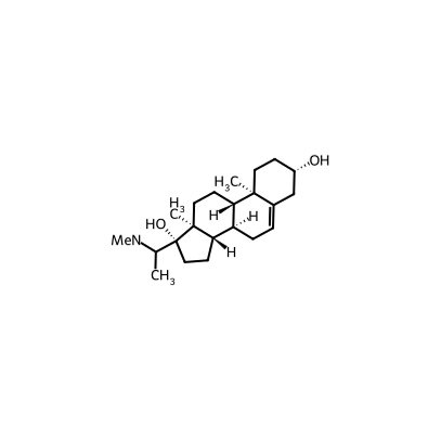 CNC(C)[C@]1(O)CC[C@H]2[C@@H]3CC=C4C[C@@H](O)CC[C@]4(C)[C@H]3CC[C@@]21C